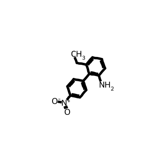 CCc1cccc(N)c1-c1ccc([N+](=O)[O-])cc1